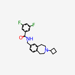 O=C(NCc1ccc2c(c1)CCN(C1CCC1)CC2)c1cc(F)cc(F)c1